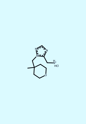 CC1(Cn2ncnc2CN)CCOCC1.Cl